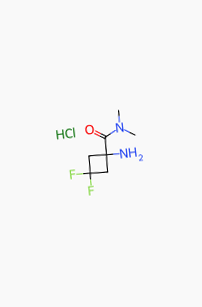 CN(C)C(=O)C1(N)CC(F)(F)C1.Cl